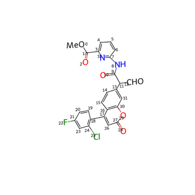 COC(=O)c1cccc(NC(=O)C(C=O)c2ccc3c(-c4ccc(F)cc4Cl)cc(=O)oc3c2)n1